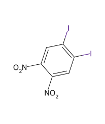 O=[N+]([O-])c1cc(I)c(I)cc1[N+](=O)[O-]